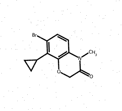 CN1C(=O)COc2c1ccc(Br)c2C1CC1